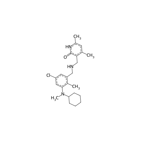 Cc1cc(C)c(CNCc2cc(Cl)cc(N(C)C3CCCCC3)c2C)c(=O)[nH]1